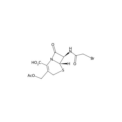 CC(=O)OCC1=C(C(=O)O)N2C(=O)[C@@H](NC(=O)CBr)[C@@H]2SC1